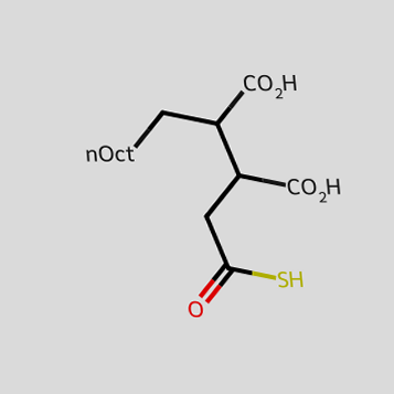 CCCCCCCCCC(C(=O)O)C(CC(=O)S)C(=O)O